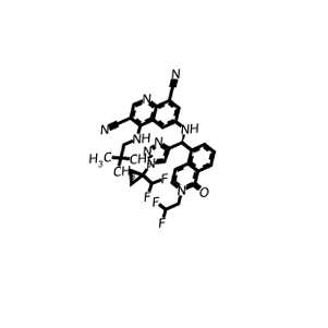 CC(C)(C)CNc1c(C#N)cnc2c(C#N)cc(N[C@H](c3cn(C4(C(F)F)CC4)nn3)c3cccc4c(=O)n(CC(F)F)ccc34)cc12